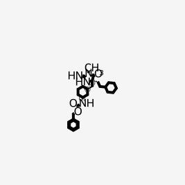 CN1C(=N)N[C@](CCC2CCCCC2)(C[C@@H]2CCC[C@H](NC(=O)OCc3ccccc3)C2)C1=O